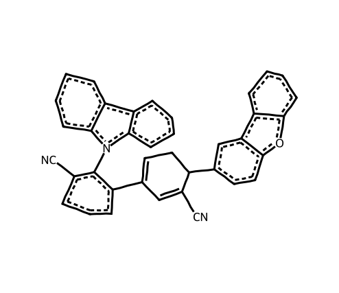 N#CC1=CC(c2cccc(C#N)c2-n2c3ccccc3c3ccccc32)=CCC1c1ccc2oc3ccccc3c2c1